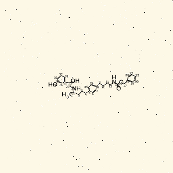 CC(CCCc1ccc(CCCCNC(=O)OCc2ccccc2)cc1)NCC(O)c1cccc(O)c1